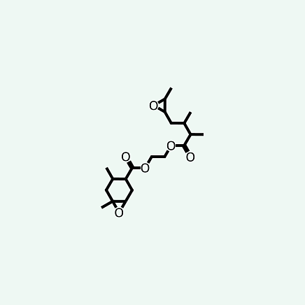 CC(CC1OC1C)C(C)C(=O)OCCOC(=O)C1CC2OC2(C)CC1C